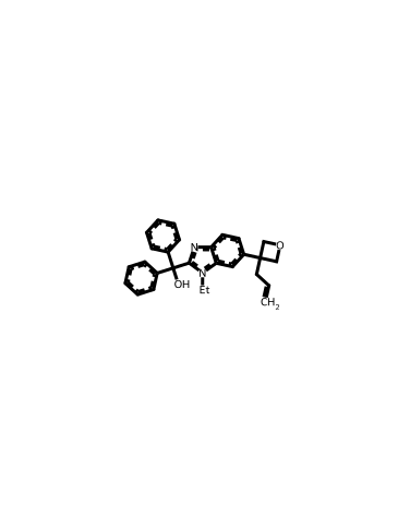 C=CCC1(c2ccc3nc(C(O)(c4ccccc4)c4ccccc4)n(CC)c3c2)COC1